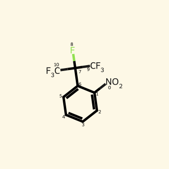 O=[N+]([O-])c1ccccc1C(F)(C(F)(F)F)C(F)(F)F